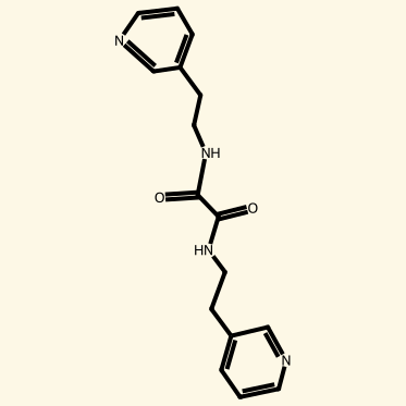 O=C(NCCc1cccnc1)C(=O)NCCc1cccnc1